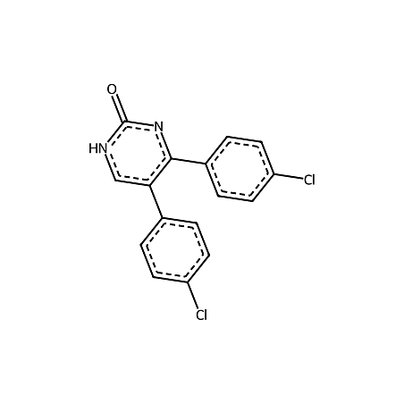 O=c1nc(-c2ccc(Cl)cc2)c(-c2ccc(Cl)cc2)c[nH]1